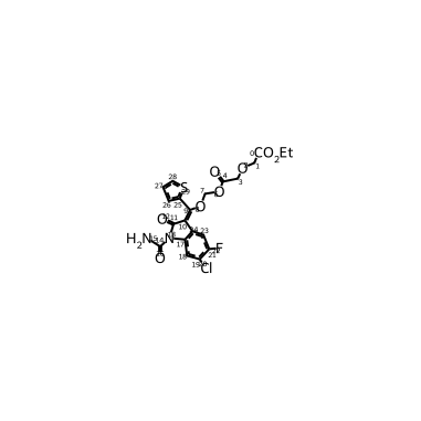 CCOC(=O)COCC(=O)OCOC(=C1C(=O)N(C(N)=O)c2cc(Cl)c(F)cc21)c1cccs1